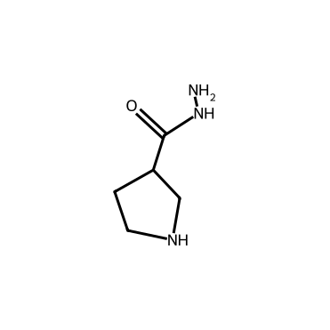 NNC(=O)C1CCNC1